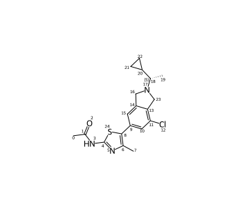 CC(=O)Nc1nc(C)c(-c2cc(Cl)c3c(c2)CN([C@@H](C)C2CC2)C3)s1